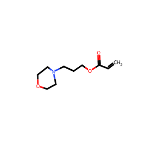 C=CC(=O)OCCCN1CCOCC1